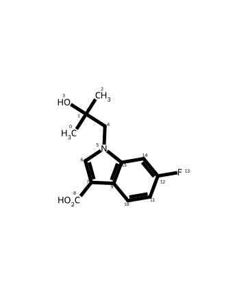 CC(C)(O)Cn1cc(C(=O)O)c2ccc(F)cc21